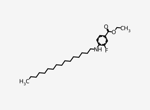 CCCCCCCCCCCCCCCCNc1ccc(C(=O)OCC)cc1F